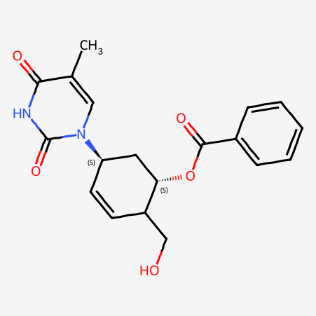 Cc1cn([C@@H]2C=CC(CO)[C@@H](OC(=O)c3ccccc3)C2)c(=O)[nH]c1=O